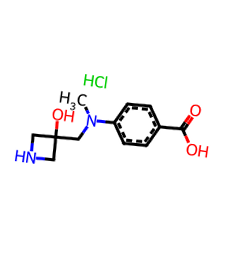 CN(CC1(O)CNC1)c1ccc(C(=O)O)cc1.Cl